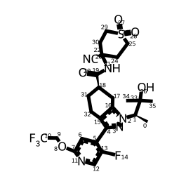 C[C@@H](n1nc(-c2cc(OCC(F)(F)F)ncc2F)c2c1C[C@H](C(=O)NC1(C#N)CCS(=O)(=O)CC1)CC2)C(C)(C)O